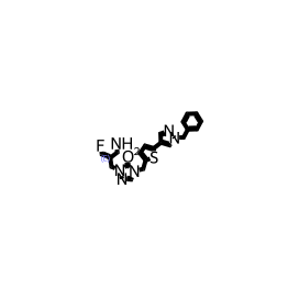 NC/C(=C\F)Cn1ncn(Cc2ccc(-c3cnn(Cc4ccccc4)c3)s2)c1=O